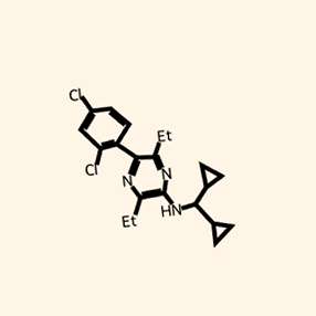 CCc1nc(-c2ccc(Cl)cc2Cl)c(CC)nc1NC(C1CC1)C1CC1